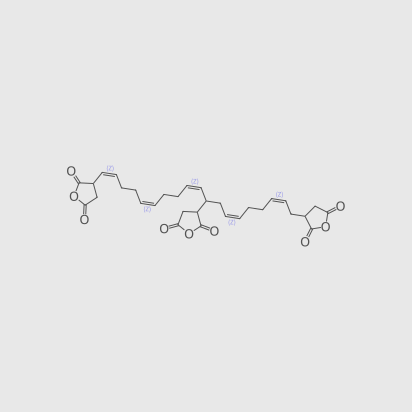 O=C1CC(/C=C\CC/C=C\CC/C=C\C(C/C=C\CC/C=C\CC2CC(=O)OC2=O)C2CC(=O)OC2=O)C(=O)O1